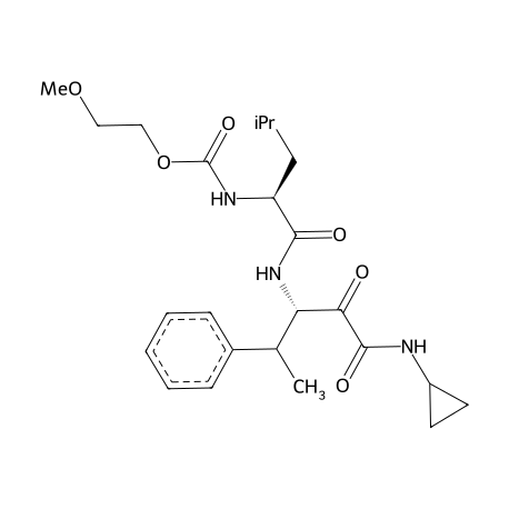 COCCOC(=O)N[C@@H](CC(C)C)C(=O)N[C@H](C(=O)C(=O)NC1CC1)C(C)c1ccccc1